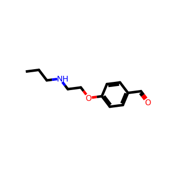 CCCNCCOc1ccc(C=O)cc1